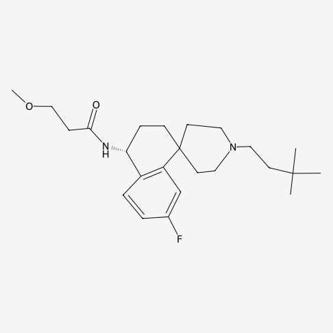 COCCC(=O)N[C@@H]1CCC2(CCN(CCC(C)(C)C)CC2)c2cc(F)ccc21